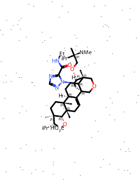 CCNC(=O)c1ncnn1[C@@H]1C[C@@]23COC[C@](C)([C@@H]2CC[C@H]2C3=CC[C@]3(C)[C@H](OC(=O)O)[C@@](C)([C@H](C)C(C)C)CC[C@]23C)[C@H]1OC[C@](C)(NC)C(C)C